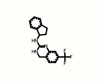 FC(F)(F)c1ccc2c(c1)N=C(NC1CCc3ccccc31)NC2